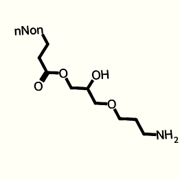 CCCCCCCCCCCC(=O)OCC(O)COCCCN